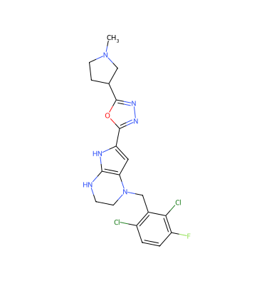 CN1CCC(c2nnc(-c3cc4c([nH]3)NCCN4Cc3c(Cl)ccc(F)c3Cl)o2)C1